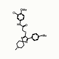 CCCCc1ccc(C2=NC3(CCN(C)CC3)N=C2SCC(=O)Nc2ccc(OC)c(Cl)c2)cc1